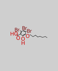 CCCCCCCCOc1c(O)c(C(=O)O)c(Br)c(Br)c1Br